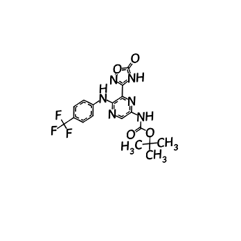 CC(C)(C)OC(=O)Nc1cnc(Nc2ccc(C(F)(F)F)cc2)c(-c2noc(=O)[nH]2)n1